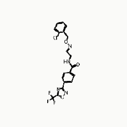 O=C(NCC=NOCc1ccccc1Cl)c1ccc(-c2noc(C(F)(F)F)n2)cc1